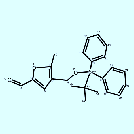 Cc1oc(C=O)cc1CO[Si](c1ccccc1)(c1ccccc1)C(C)(C)C